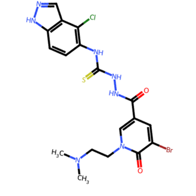 CN(C)CCn1cc(C(=O)NNC(=S)Nc2ccc3[nH]ncc3c2Cl)cc(Br)c1=O